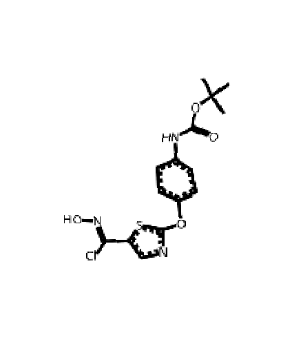 CC(C)(C)OC(=O)Nc1ccc(Oc2ncc(C(Cl)=NO)s2)cc1